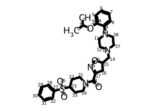 CC(C)Oc1ccccc1N1CCN(CC2CC(C(=O)N3CCC(S(=O)(=O)c4ccccc4)CC3)=NO2)CC1